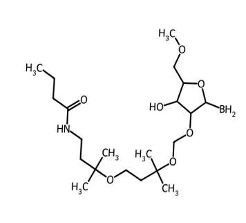 BC1OC(COC)C(O)C1OCOC(C)(C)CCOC(C)(C)CCNC(=O)CCC